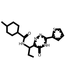 CCC(NC(=O)C1CCC(C)CC1)c1nnc(-c2cccs2)[nH]c1=O